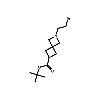 CC(C)(C)OC(=O)N1CC2(CN(CCBr)C2)C1